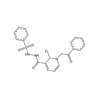 O=C(NNS(=O)(=O)c1ccccc1)C1=CC=CN(CC(=O)c2ccccc2)C1Cl